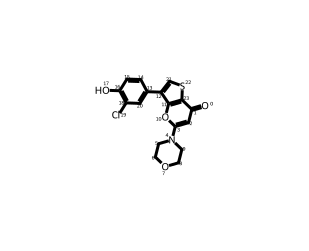 O=c1cc(N2CCOCC2)oc2c(-c3ccc(O)c(Cl)c3)csc12